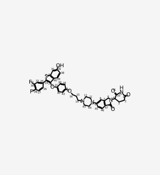 O=C1CCC(N2Cc3cc(N4CCN(CCCOc5ccc(Oc6c(-c7ccc(F)c(F)c7)sc7cc(O)ccc67)cc5)CC4)ccc3C2=O)C(=O)N1